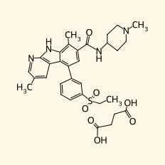 CCS(=O)(=O)c1cccc(-c2cc(C(=O)NC3CCN(C)CC3)c(C)c3[nH]c4ncc(C)cc4c23)c1.O=C(O)CCC(=O)O